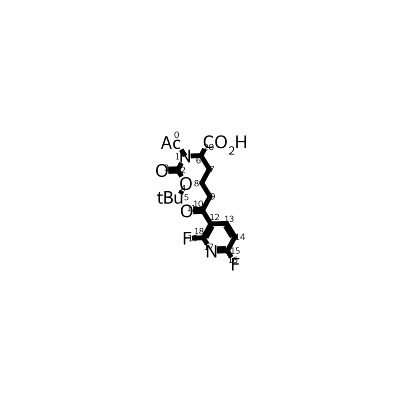 CC(=O)N(C(=O)OC(C)(C)C)C(CCCC(=O)c1ccc(F)nc1F)C(=O)O